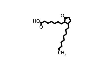 CCCCCCCCCC1CCC(=O)C1CCCCCCC(=O)O